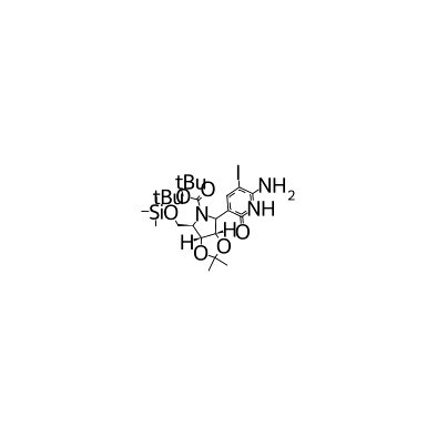 CC(C)(C)OC(=O)N1C(c2cc(I)c(N)[nH]c2=O)[C@@H]2OC(C)(C)O[C@@H]2[C@H]1CO[Si](C)(C)C(C)(C)C